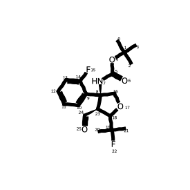 CC(C)(C)OC(=O)N[C@@]1(c2ccccc2F)COC(C(C)(C)F)[C@H]1C=O